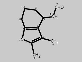 Cc1sc2c(c1C)C(NC=O)CCC2